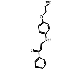 O=C(C=CNc1ccc(OCC[18F])cc1)c1ccccc1